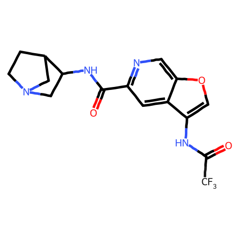 O=C(NC1CN2CCC1C2)c1cc2c(NC(=O)C(F)(F)F)coc2cn1